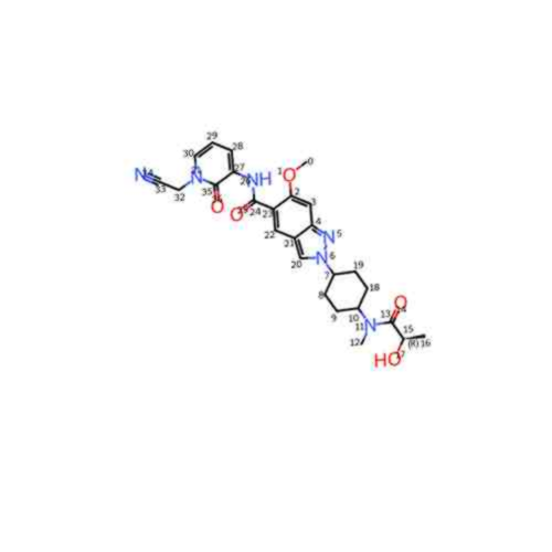 COc1cc2nn(C3CCC(N(C)C(=O)[C@@H](C)O)CC3)cc2cc1C(=O)Nc1cccn(CC#N)c1=O